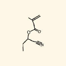 C=C(C)C(=O)OC(C#N)CC